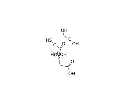 CO.O=C(O)CS.O=C(O)CS.OCCO